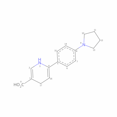 O=C(O)C1=CNC(c2ccc(N3CCCC3)cc2)=CC1